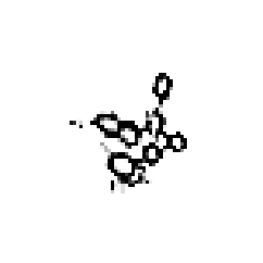 C[C@@H]1C[C@@H]2C[C@H](C)CC(c3ccc(-c4ccccc4-c4nc(-c5ccccc5)nc(-c5ccc6cc(C#N)ccc6c5)n4)cc3)(C1)C2